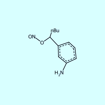 CCCCC(ON=O)c1cccc(N)c1